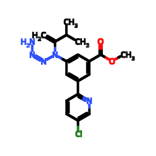 C=C(C(C)C)N(/N=N\N)c1cc(C(=O)OC)cc(-c2ccc(Cl)cn2)c1